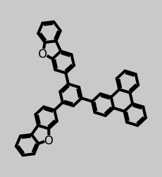 c1ccc2c(c1)oc1cc(-c3cc(-c4ccc5c(c4)oc4ccccc45)cc(-c4ccc5c6ccccc6c6ccccc6c5c4)c3)ccc12